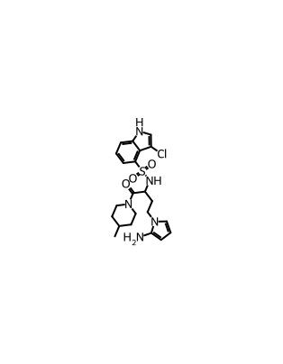 CC1CCN(C(=O)C(CCn2cccc2N)NS(=O)(=O)c2cccc3[nH]cc(Cl)c23)CC1